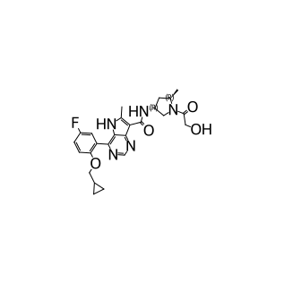 Cc1[nH]c2c(-c3cc(F)ccc3OCC3CC3)ncnc2c1C(=O)N[C@@H]1C[C@@H](C)N(C(=O)CO)C1